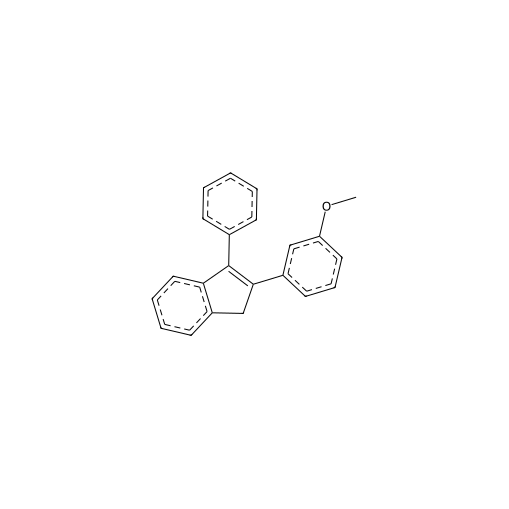 COc1cccc(C2=C(c3ccccc3)c3ccccc3C2)c1